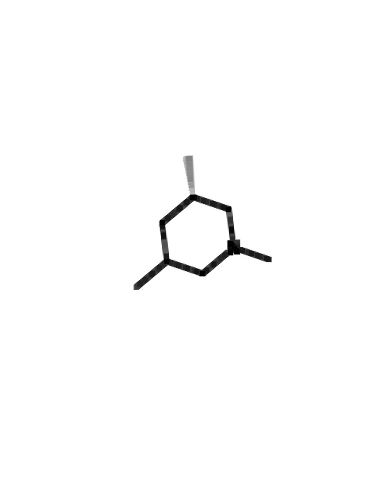 CC1C[C@H](C)CN(C)C1